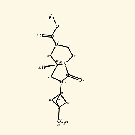 CC(C)(C)OC(=O)N1CCN2C(=O)N(C34CC(C(=O)O)(C3)C4)C[C@@H]2C1